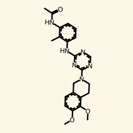 COc1ccc2c(c1OC)CCN(c1ncnc(Nc3cccc(NC(C)=O)c3C)n1)C2